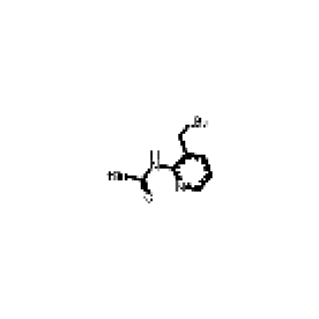 CC(C)(C)Cc1cccnc1NC(=O)C(C)(C)C